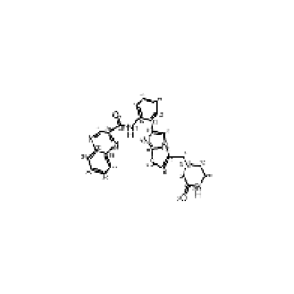 O=C1CN(Cc2csc3nc(-c4ccccc4NC(=O)c4cnc5ccccc5n4)cn23)CCN1